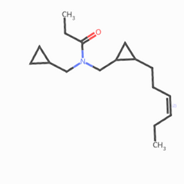 CC/C=C\CCC1CC1CN(CC1CC1)C(=O)CC